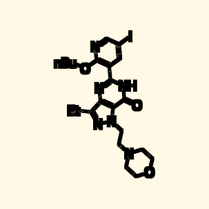 CCCCOc1ncc(I)cc1-c1nc2c(CC)nn(CCN3CCOCC3)c2c(=O)[nH]1